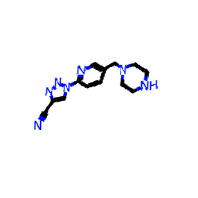 N#Cc1cn(-c2ccc(CN3CCNCC3)cn2)nn1